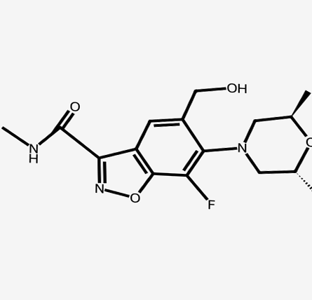 CNC(=O)c1noc2c(F)c(N3C[C@@H](C)O[C@H](C)C3)c(CO)cc12